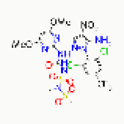 COc1cc(OC)nc(NC(=O)NS(=O)(=O)N(C)S(C)(=O)=O)n1.Nc1c([N+](=O)[O-])cnn1-c1c(Cl)cc(C(F)(F)F)cc1Cl